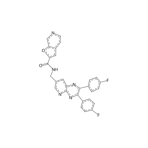 O=C(NCc1cnc2nc(-c3ccc(F)cc3)c(-c3ccc(F)cc3)nc2c1)c1cc2ccncc2o1